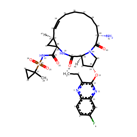 CCc1nc2ccc(F)cc2nc1O[C@@H]1C[C@H]2C(=O)N[C@]3(C(=O)NS(=O)(=O)C4(C)CC4)C[C@H]3C=CCCCCC[C@H](N)C(=O)N2C1